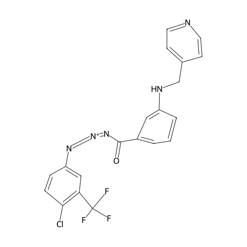 O=C(N=[N+]=Nc1ccc(Cl)c(C(F)(F)F)c1)c1cccc(NCc2ccncc2)c1